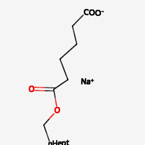 CCCCCCCCOC(=O)CCCCC(=O)[O-].[Na+]